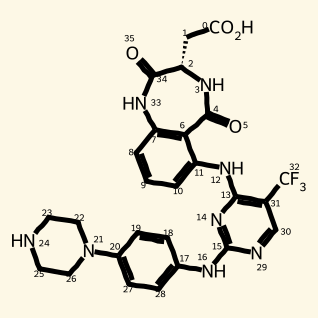 O=C(O)C[C@@H]1NC(=O)c2c(cccc2Nc2nc(Nc3ccc(N4CCNCC4)cc3)ncc2C(F)(F)F)NC1=O